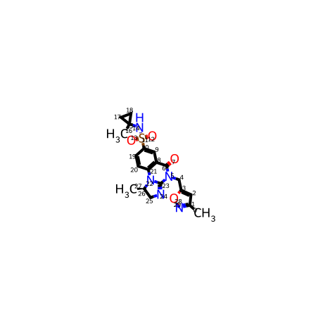 Cc1cc(CN2C(=O)c3cc(S(=O)(=O)NC4(C)CC4)ccc3N3C2=NC[C@H]3C)on1